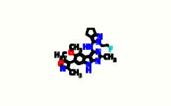 COc1cc2c(cc1-c1c(C)noc1C)[nH]c1nc(C)nc(Nc3c4c(nn3CCF)CCC4)c12